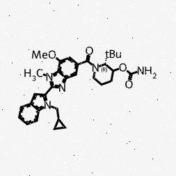 COc1cc(C(=O)N2CCCC(OC(N)=O)[C@H]2C(C)(C)C)cc2nc(-c3cc4ccccc4n3CC3CC3)n(C)c12